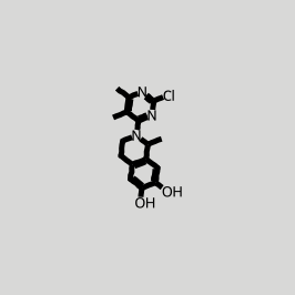 Cc1nc(Cl)nc(N2CCc3cc(O)c(O)cc3C2C)c1C